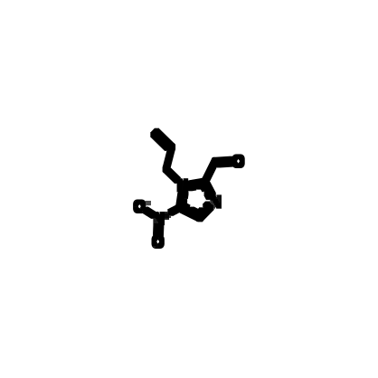 C=CCn1c([N+](=O)[O-])cnc1C=O